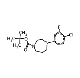 CC(C)(C)OC(=O)N1CCCN(c2ccc(Cl)c(F)c2)CC1